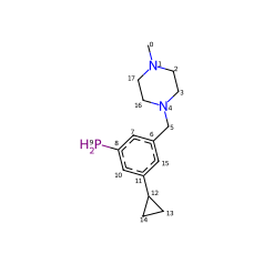 CN1CCN(Cc2cc(P)cc(C3CC3)c2)CC1